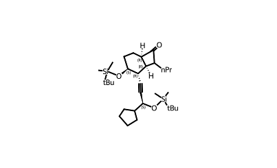 CCCC1C(=O)[C@@H]2CC[C@H](O[Si](C)(C)C(C)(C)C)[C@@H](C#C[C@@H](O[Si](C)(C)C(C)(C)C)C3CCCC3)[C@H]12